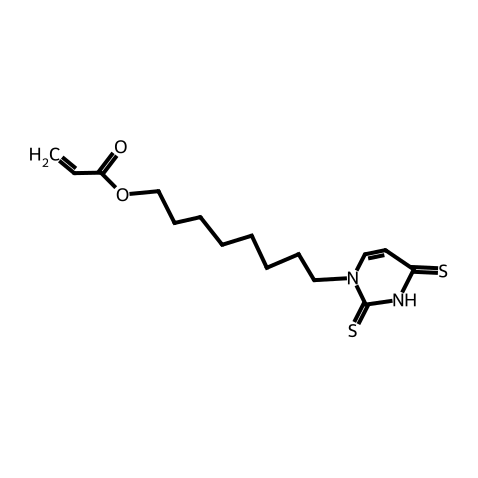 C=CC(=O)OCCCCCCCCn1ccc(=S)[nH]c1=S